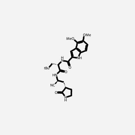 COc1ccc2[nH]c(C(=O)N[C@@H](CC(C)(C)C)C(=O)N[C@H](C#N)C[C@@H]3CCNC3=O)cc2c1OC